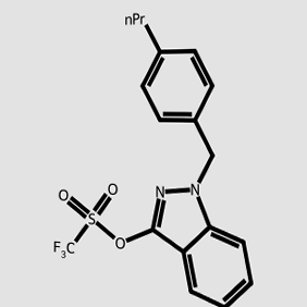 CCCc1ccc(Cn2nc(OS(=O)(=O)C(F)(F)F)c3ccccc32)cc1